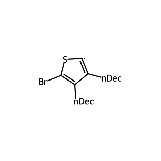 CCCCCCCCCCc1[c]sc(Br)c1CCCCCCCCCC